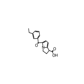 CCc1cccc(C(=O)c2ccc3n2CCC3C(=O)O)c1